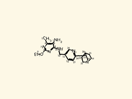 CCOc1nc(C)c(N)c(NCc2ccc(C3CN4CCC3CC4)nc2)n1